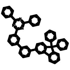 c1ccc(-c2nc(-c3ccccc3)nc(-c3cccc(-c4cccc(-c5ccc6c(c5)-c5ccccc5C6(c5ccccc5)c5ccccc5)c4)c3)n2)cc1